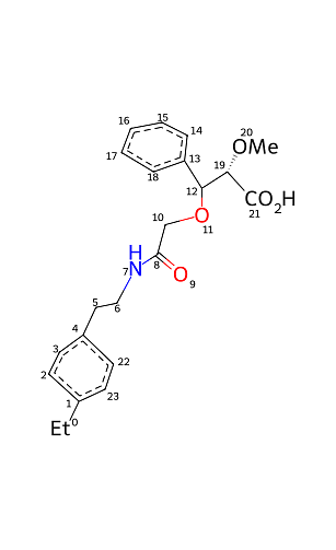 CCc1ccc(CCNC(=O)COC(c2ccccc2)[C@H](OC)C(=O)O)cc1